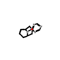 c1ncnc(N2C3CCCC2COC3)n1